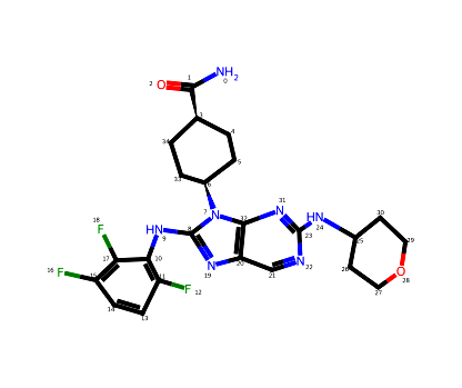 NC(=O)[C@H]1CC[C@@H](n2c(Nc3c(F)ccc(F)c3F)nc3cnc(NC4CCOCC4)nc32)CC1